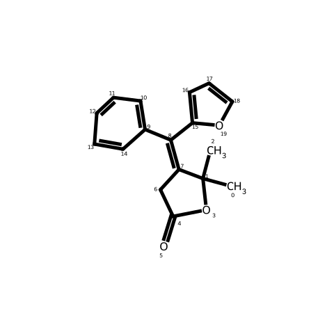 CC1(C)OC(=O)C/C1=C(\c1ccccc1)c1ccco1